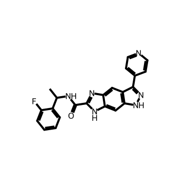 CC(NC(=O)c1nc2cc3c(-c4ccncc4)n[nH]c3cc2[nH]1)c1ccccc1F